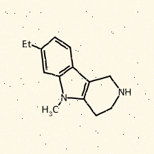 CCc1ccc2c3c(n(C)c2c1)CCNC3